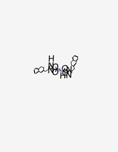 O=C(/C=C/C(=O)OC1=NC(CC2=Cc3ccccc3CC2)CN1)OC1=NC(CC2=Cc3ccccc3CC2)CN1